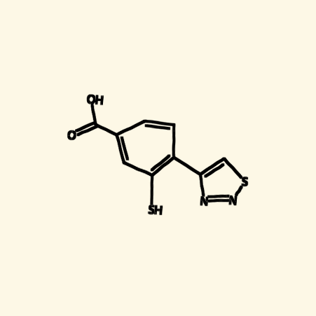 O=C(O)c1ccc(-c2csnn2)c(S)c1